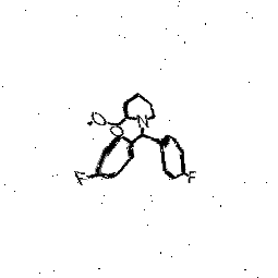 COC(=O)C1CCCCN1C(c1ccc(F)cc1)c1ccc(F)cc1